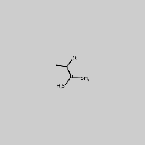 CCC(C)N([SiH3])[SiH3]